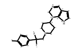 Cc1ccc(C(F)(F)CN2CCC(N3CN=Cc4cc[nH]c43)CC2)cc1